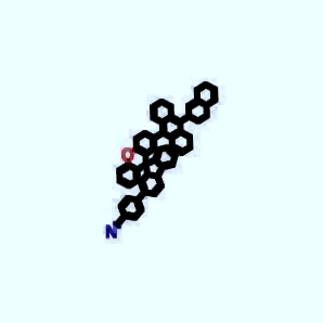 N#Cc1ccc(C2=CC3C(C=C2)c2ccccc2C32C3=C(CCC(c4c5c(c(C6C=C7CCC=CC7CC6)c6c4C=CCC6)CCC=C5)=C3)Oc3ccccc32)cc1